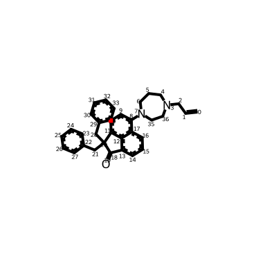 C=CCN1CCCN(c2ccc3c4c(cccc24)C(=O)C3(Cc2ccccc2)Cc2ccccc2)CC1